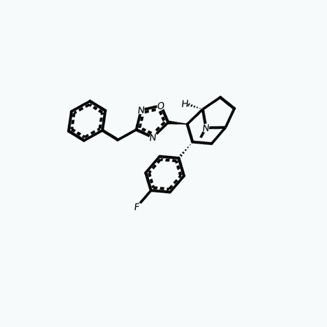 CN1C2CC[C@@H]1[C@H](c1nc(Cc3ccccc3)no1)[C@@H](c1ccc(F)cc1)C2